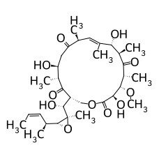 C/C=C\[C@H](C)[C@H]1O[C@]1(C)[C@H](O)[C@H]1COC(=O)[C@H](O)[C@@H](OC)[C@@H](C)C(=O)[C@H](C)[C@@H](O)/C(C)=C/[C@H](C)C(=O)C[C@H](O)[C@@H](C)C1=O